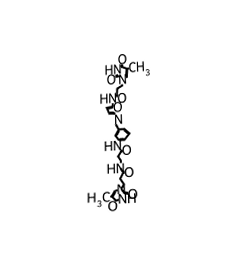 Cc1cn(CCC(=O)NCCC(=O)Nc2cccc(/C=N/c3ccc(NC(=O)CCn4cc(C)c(=O)[nH]c4=O)o3)c2)c(=O)[nH]c1=O